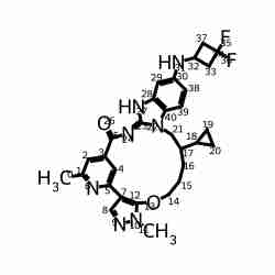 Cc1cc2cc(n1)-c1cnn(C)c1OCCCC(C1CC1)CN1/C(=N/C2=O)Nc2cc(NC3CC(F)(F)C3)ccc21